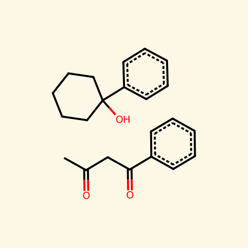 CC(=O)CC(=O)c1ccccc1.OC1(c2ccccc2)CCCCC1